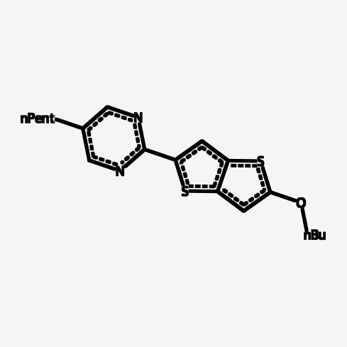 CCCCCc1cnc(-c2cc3sc(OCCCC)cc3s2)nc1